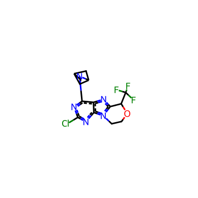 FC(F)(F)C1OCCn2c1nc1c(N3CC4CC3C4)nc(Cl)nc12